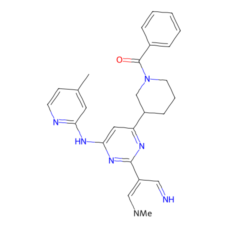 CN/C=C(\C=N)c1nc(Nc2cc(C)ccn2)cc(C2CCCN(C(=O)c3ccccc3)C2)n1